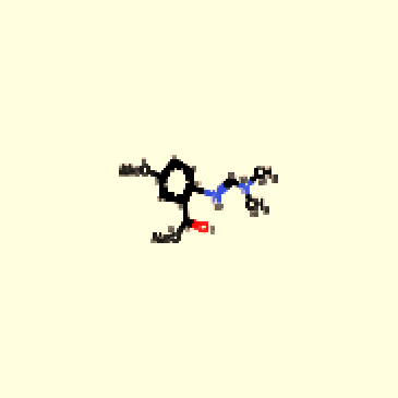 COC(=O)c1cc(OC)ccc1N=CN(C)C